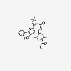 C=CC(=O)N1CC(C)N(C2=NC(=O)CN(CC(C)(C)C)c3nc(-c4ccccc4F)c(Cl)cc32)CC1C